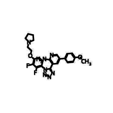 COc1ccc(-c2cnc(N)c(-c3nnnn3-c3ccc(OCCN4CCCC4)c(F)c3F)c2)cc1